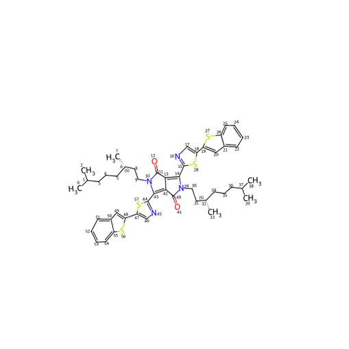 CC(C)CCC[C@H](C)CCN1C(=O)C2=C(c3ncc(-c4cc5ccccc5s4)s3)N(CC[C@@H](C)CCCC(C)C)C(=O)C2=C1c1ncc(-c2cc3ccccc3s2)s1